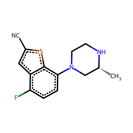 C[C@@H]1CN(c2ccc(F)c3cc(C#N)sc23)CCN1